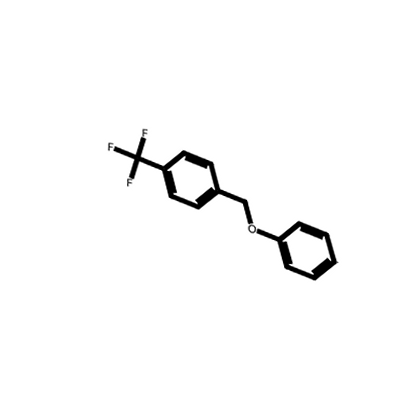 FC(F)(F)c1ccc(COc2cc[c]cc2)cc1